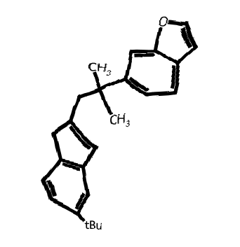 CC(C)(C)c1ccc2c(c1)C=C(CC(C)(C)c1ccc3ccoc3c1)C2